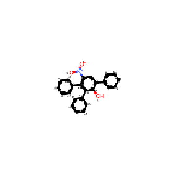 O=[N+]([O-])c1cc(-c2ccccc2)c(O)c(-c2ccccc2)c1-c1ccccc1